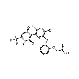 Cn1c(C(F)(F)F)cc(=O)n(-c2nc(Oc3ccccc3OCC(=O)O)c(Cl)cc2F)c1=O